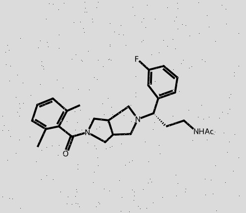 CC(=O)NCC[C@@H](c1cccc(F)c1)N1CC2CN(C(=O)c3c(C)cccc3C)CC2C1